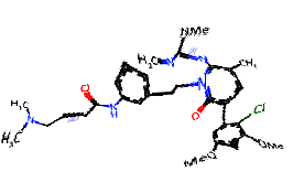 C=N/C(=N\c1c(C)cc(-c2cc(OC)cc(OC)c2Cl)c(=O)n1CCc1cccc(NC(=O)/C=C/CN(C)C)c1)NC